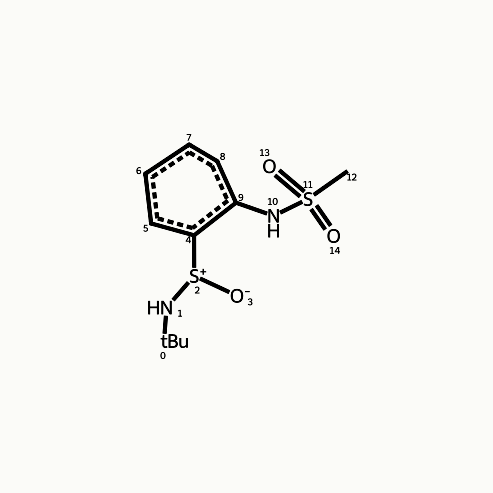 CC(C)(C)N[S+]([O-])c1ccccc1NS(C)(=O)=O